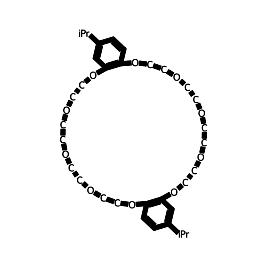 CC(C)c1ccc2c(c1)OCCOCCOCCOCCOc1ccc(C(C)C)cc1OCCOCCOCCOCCO2